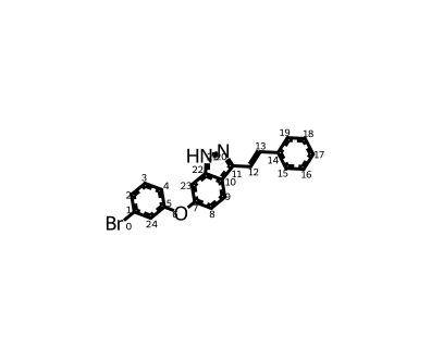 Brc1cccc(Oc2ccc3c(/C=C/c4ccccc4)n[nH]c3c2)c1